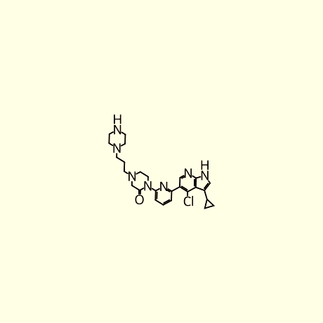 O=C1CN(CCCN2CCNCC2)CCN1c1cccc(-c2cnc3[nH]cc(C4CC4)c3c2Cl)n1